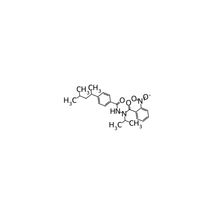 CC(C)CC(C)c1ccc(C(=O)NN(C(=O)c2ccccc2[N+](=O)[O-])C(C)C)cc1